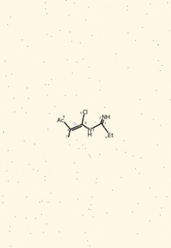 CCC(=N)N/C(Cl)=C(\C)C(C)=O